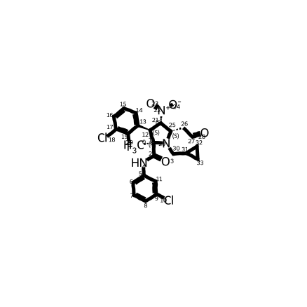 C[C@]1(C(=O)Nc2cccc(Cl)c2)[C@@H](c2cccc(Cl)c2F)[C@H]([N+](=O)[O-])[C@H](CC=O)N1CC1CC1